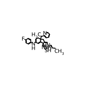 C=C(c1ccccn1)C1(C/C(C=N)=C/NCCCC)CC=C(Nc2ccc(F)cc2)C=C1CCNS